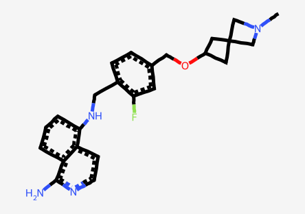 CN1CC2(CC(OCc3ccc(CNc4cccc5c(N)nccc45)c(F)c3)C2)C1